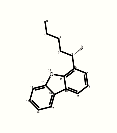 CCCC[C@H](C)c1cccc2c1oc1ccccc12